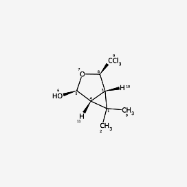 CC1(C)[C@@H]2[C@H]1[C@@H](O)O[C@H]2C(Cl)(Cl)Cl